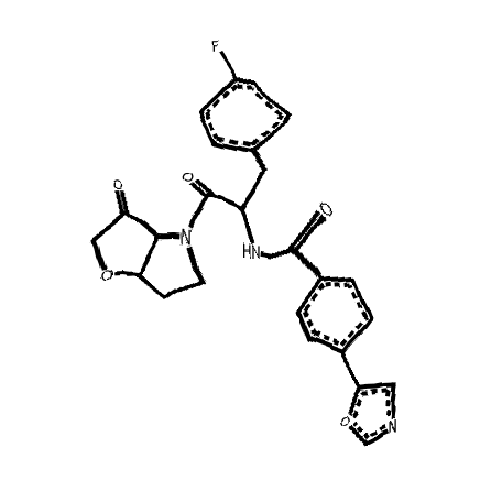 O=C(NC(Cc1ccc(F)cc1)C(=O)N1CCC2OCC(=O)C21)c1ccc(-c2cnco2)cc1